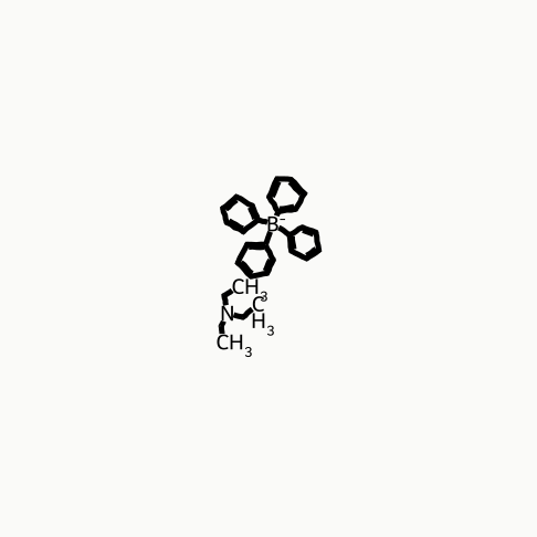 CCN(CC)CC.c1ccc([B-](c2ccccc2)(c2ccccc2)c2ccccc2)cc1